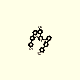 N#Cc1ccc(-c2ccc3c4ccccc4n(-c4cc(-c5ccc(C#N)cc5)c(-n5c6ccccc6c6ccc(-c7ccc(C#N)cc7)cc65)cn4)c3c2)cc1